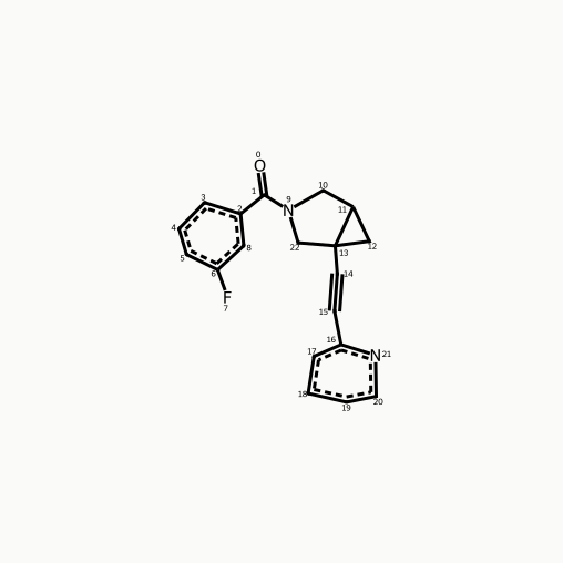 O=C(c1cccc(F)c1)N1CC2CC2(C#Cc2ccccn2)C1